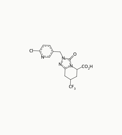 O=C(O)C1CC(C(F)(F)F)Cc2nn(Cc3ccc(Cl)nc3)c(=O)n21